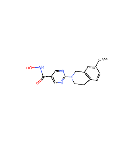 COc1ccc2c(c1)CN(c1ncc(C(=O)NO)cn1)CC2